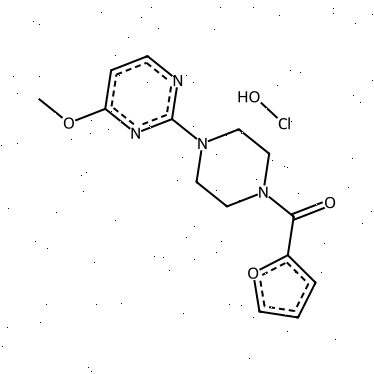 COc1ccnc(N2CCN(C(=O)c3ccco3)CC2)n1.OCl